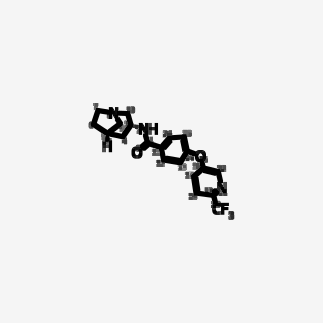 O=C(N[C@@H]1C[C@@H]2CCN(C2)C1)c1ccc(Oc2ccc(C(F)(F)F)nc2)cc1